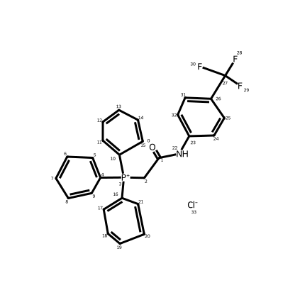 O=C(C[P+](c1ccccc1)(c1ccccc1)c1ccccc1)Nc1ccc(C(F)(F)F)cc1.[Cl-]